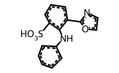 O=S(=O)(O)c1cccc(-c2ncco2)c1Nc1ccccc1